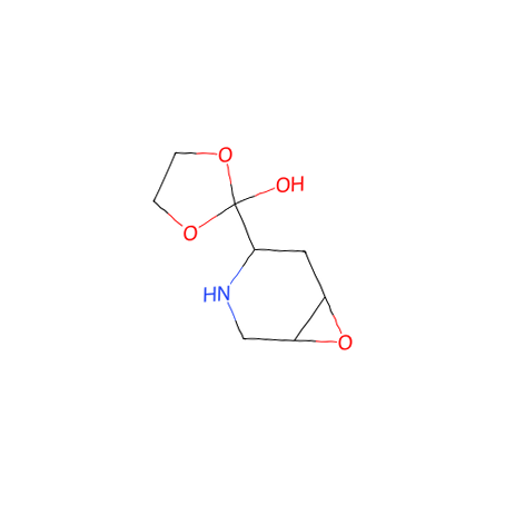 OC1(C2CC3OC3CN2)OCCO1